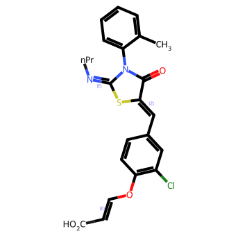 CCC/N=C1/S/C(=C\c2ccc(O/C=C/C(=O)O)c(Cl)c2)C(=O)N1c1ccccc1C